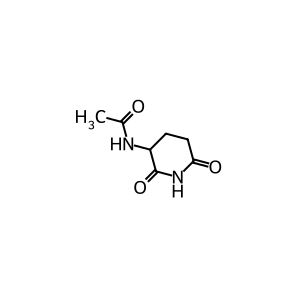 CC(=O)NC1CCC(=O)NC1=O